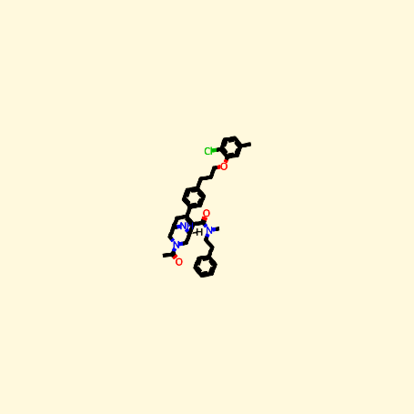 CC(=O)N1CC2CC(c3ccc(CCCOc4cc(C)ccc4Cl)cc3)=C(C(=O)N(C)CCc3ccccc3)[C@@H](C1)N2